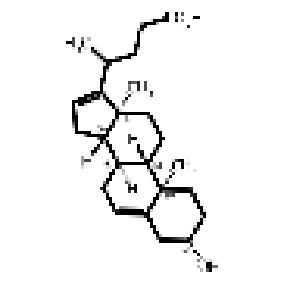 CC(CCC(=O)O)C1=CC[C@H]2[C@@H]3CC=C4C[C@@H](O)CC[C@]4(C)[C@H]3CC[C@]12C